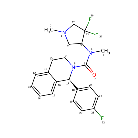 CN1CC(N(C)C(=O)N2CCc3ccccc3[C@@H]2c2ccc(F)cc2)C(F)(F)C1